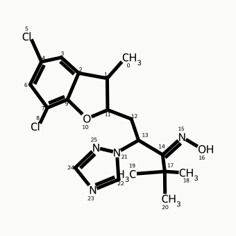 CC1c2cc(Cl)cc(Cl)c2OC1CC(C(=NO)C(C)(C)C)n1cncn1